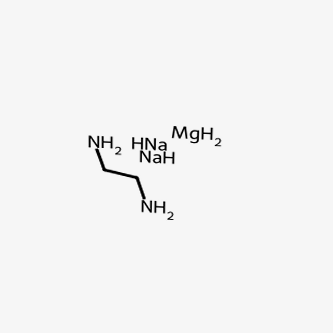 NCCN.[MgH2].[NaH].[NaH]